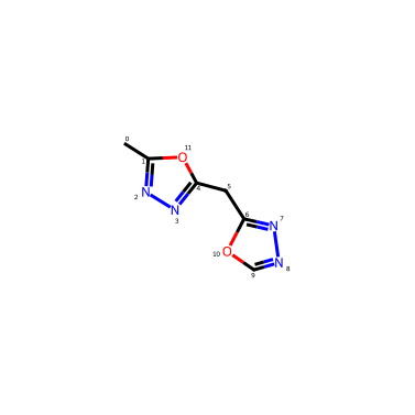 Cc1nnc(Cc2nnco2)o1